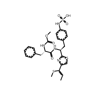 C/C=C(\SC)c1csc([C@H](Cc2ccc(NS(=O)(=O)O)cc2)NC(=O)[C@H](Cc2ccccc2)NC(=O)OC)n1